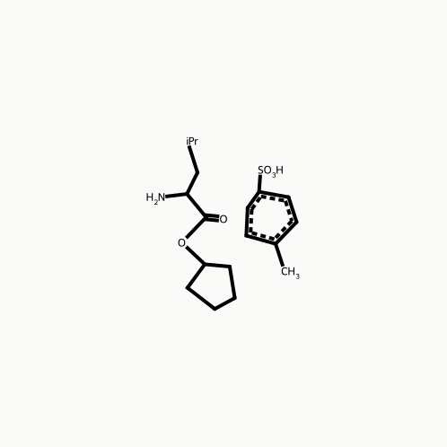 CC(C)CC(N)C(=O)OC1CCCC1.Cc1ccc(S(=O)(=O)O)cc1